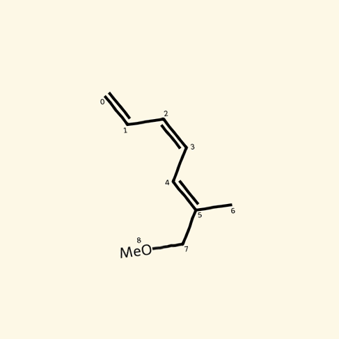 C=C/C=C\C=C(/C)COC